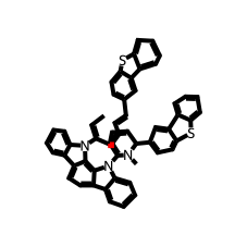 C\C=C(/C=C\C=C\c1ccc2sc3ccccc3c2c1)n1c2ccccc2c2ccc3c4ccccc4n(C4=CC=CC(c5ccc6sc7ccccc7c6c5)N4C)c3c21